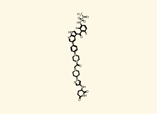 CCN(C)S(=O)(=O)Nc1ccc(F)c(C(=O)c2c[nH]c3ncc(-c4ccc(N5CCN(C(=O)CN6CCC(n7cc(NC8CCC(=O)NC8=O)cn7)CC6)CC5)cc4)cc23)c1F